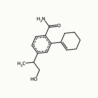 CC(CO)c1ccc(C(N)=O)c(C2=CCCCC2)c1